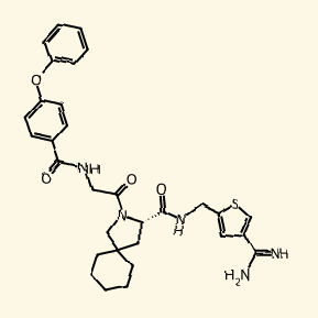 N=C(N)c1csc(CNC(=O)[C@@H]2CC3(CCCCC3)CN2C(=O)CNC(=O)c2ccc(Oc3ccccc3)cc2)c1